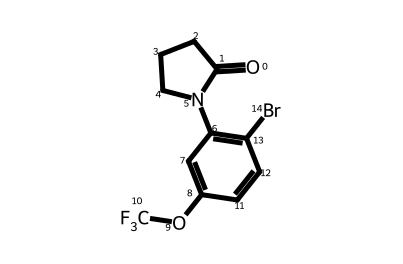 O=C1CCCN1c1cc(OC(F)(F)F)ccc1Br